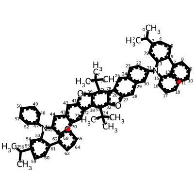 CC(C)c1ccc(-c2ccccc2)c(N(c2ccccc2)c2ccc3cc4c(cc3c2)oc2c(C(C)(C)C)c3c(oc5cc6cc(N(c7ccccc7)c7cc(C(C)C)ccc7-c7ccccc7)ccc6cc53)c(C(C)(C)C)c24)c1